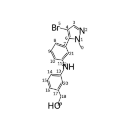 Cn1ncc(Br)c1-c1cccc(Nc2cccc(CO)c2)c1